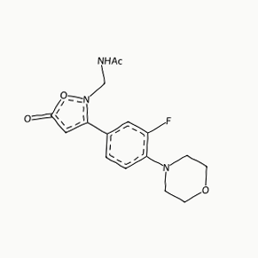 CC(=O)NCn1oc(=O)cc1-c1ccc(N2CCOCC2)c(F)c1